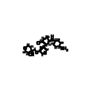 N#CC1(COc2cncc(-c3cc(NC4CCC(N)CC4)ncc3Cl)n2)CCOCC1